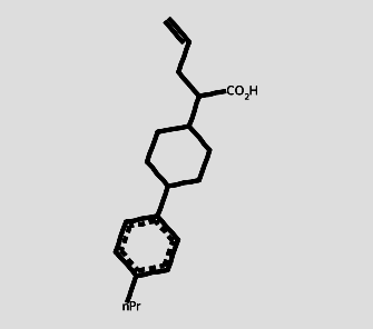 C=CCC(C(=O)O)C1CCC(c2ccc(CCC)cc2)CC1